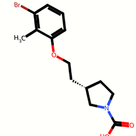 Cc1c(Br)cccc1OCC[C@@H]1CCN(C(=O)O)C1